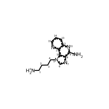 NCCCCn1cnc2c(N)nc3cccnc3c21